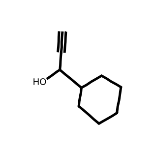 [C]#CC(O)C1CCCCC1